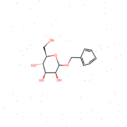 OC[C@H]1OC(OCc2ccccc2)[C@@H](O)[C@@H](O)[C@@H]1O